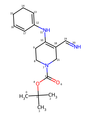 CC(C)(C)OC(=O)N1CCC(NC2=CCCC=C2)=C(C=N)C1